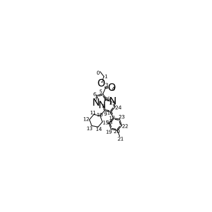 CCOC(=O)c1cnn2c(C3CCCCC3)c(-c3ccc(C)cc3)cnc12